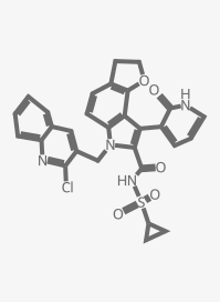 O=C(NS(=O)(=O)C1CC1)c1c(-c2ccc[nH]c2=O)c2c3c(ccc2n1Cc1cc2ccccc2nc1Cl)CCO3